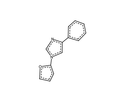 c1ccc(-c2cn(-c3ccco3)cn2)cc1